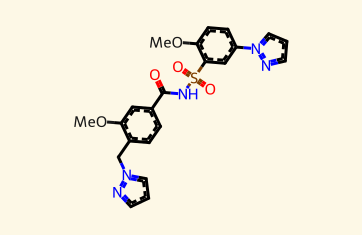 COc1cc(C(=O)NS(=O)(=O)c2cc(-n3cccn3)ccc2OC)ccc1Cn1cccn1